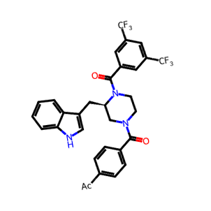 CC(=O)c1ccc(C(=O)N2CCN(C(=O)c3cc(C(F)(F)F)cc(C(F)(F)F)c3)[C@H](Cc3c[nH]c4ccccc34)C2)cc1